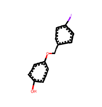 Oc1ccc(OCc2ccc(I)cc2)cc1